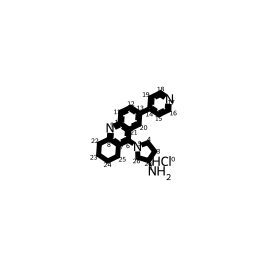 Cl.N[C@@H]1CCN(c2c3c(nc4ccc(-c5ccncc5)cc24)CCCC3)C1